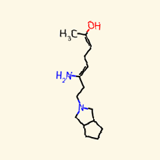 C/C(O)=C\C/C=C(\N)CCN1CC2CCCC2C1